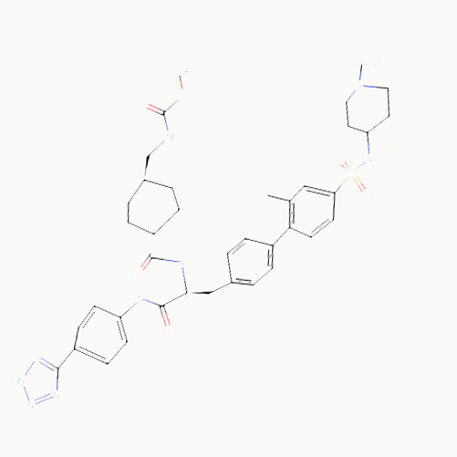 Cc1cc(S(=O)(=O)NC2CCN(C(=O)O)CC2)ccc1-c1ccc(C[C@H](NC(=O)[C@H]2CC[C@H](CNC(=O)OC(C)(C)C)CC2)C(=O)Nc2ccc(-c3nn[nH]n3)cc2)cc1